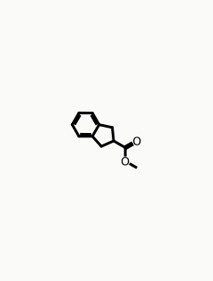 COC(=O)C1Cc2ccccc2C1